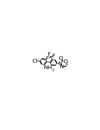 Nc1cc(Cl)ccc1-c1ccc(N2N=CCOC2=O)cc1C(F)(F)F